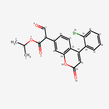 CC(C)OC(=O)C(C=O)c1ccc2c(-c3ccccc3Br)cc(=O)oc2c1